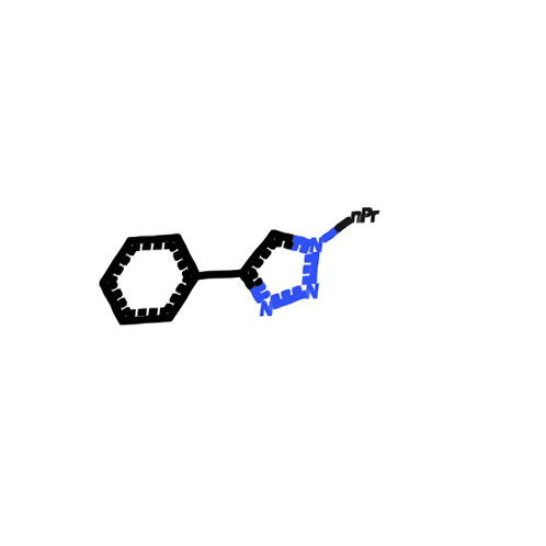 CCCn1cc(-c2ccccc2)nn1